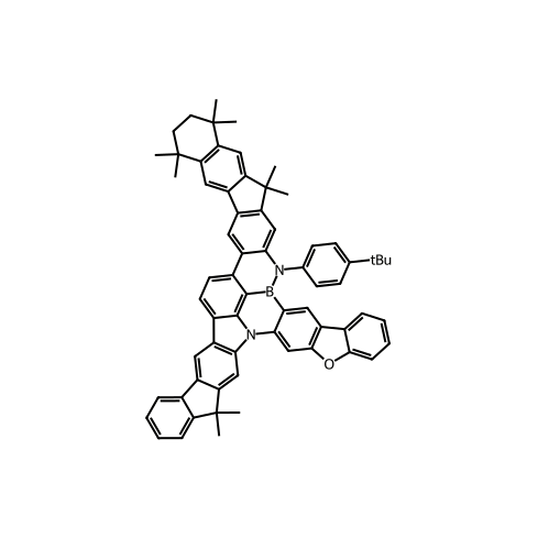 CC(C)(C)c1ccc(N2B3c4cc5c(cc4-n4c6cc7c(cc6c6ccc(c3c64)-c3cc4c(cc32)C(C)(C)c2cc3c(cc2-4)C(C)(C)CCC3(C)C)-c2ccccc2C7(C)C)oc2ccccc25)cc1